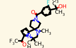 CN1CC(C)(C)n2c(C(=O)C(F)(F)F)ccc2C12CCN(C(=O)c1ccc(C(C)(C)O)c(F)c1)CC2